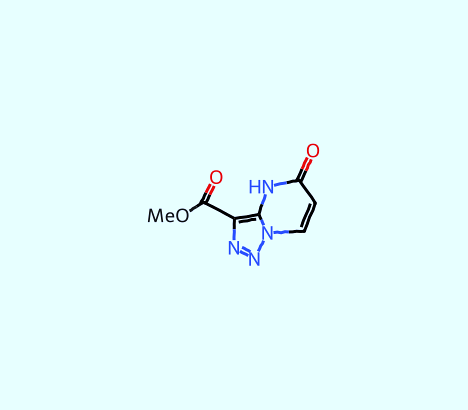 COC(=O)c1nnn2ccc(=O)[nH]c12